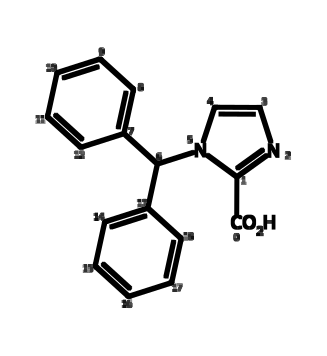 O=C(O)c1nccn1C(c1ccccc1)c1ccccc1